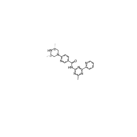 Cc1nc(NC(=O)c2ccc(N3C[C@@H](C)N[C@@H](C)C3)nc2)nc(-c2ccccn2)n1